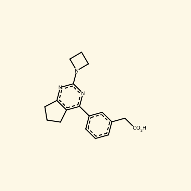 O=C(O)Cc1cccc(-c2nc(N3CCC3)nc3c2CCC3)c1